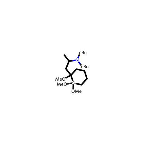 CCCCN(CCCC)C(C)CC1(OC)CCCC[Si]1(OC)OC